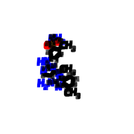 Cc1ccc(Nc2nccc(N(C)n3c(N)nc4c(C)cccc43)n2)cc1S(N)(=O)=O